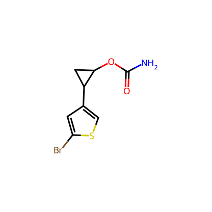 NC(=O)OC1CC1c1csc(Br)c1